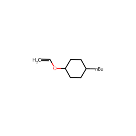 C=COC1CCC(CCCC)CC1